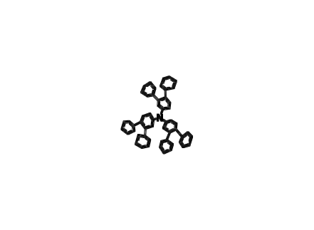 c1ccc(-c2ccc(N(c3ccc(-c4ccccc4)c(-c4ccccc4)c3)c3ccc(-c4ccccc4)c(-c4ccccc4)c3)cc2-c2ccccc2)cc1